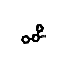 Oc1ccc([C]2CCCCC2)cc1-c1ccccc1